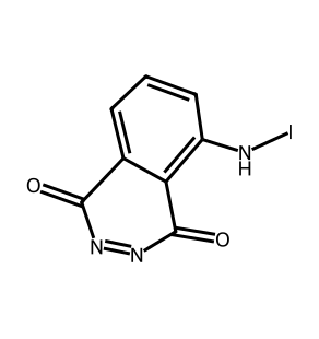 O=C1N=NC(=O)c2c(NI)cccc21